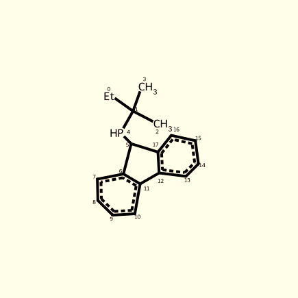 CCC(C)(C)PC1c2ccccc2-c2ccccc21